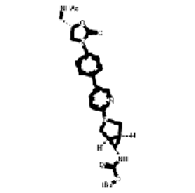 CC(=O)NC[C@H]1CN(c2ccc(-c3ccc(N4C[C@@H]5[C@H](C4)[C@H]5NC(=O)OC(C)(C)C)nc3)cc2)C(=O)O1